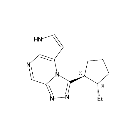 CC[C@H]1CCC[C@@H]1c1nnc2cnc3[nH]ccc3n12